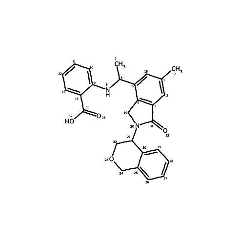 Cc1cc2c(c(C(C)Nc3ccccc3C(=O)O)c1)CN(C1COCc3ccccc31)C2=O